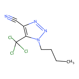 CCCCn1nnc(C#N)c1C(Cl)(Cl)Cl